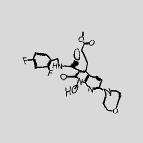 COC(=O)CCc1c(C(=O)NCc2ccc(F)cc2F)c(=O)n(O)c2nc(N3CCOCC3)ccc12